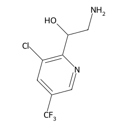 NCC(O)c1ncc(C(F)(F)F)cc1Cl